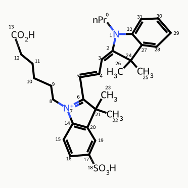 CCCN1/C(=C/C=C/C2=[N+](CCCCCC(=O)O)c3ccc(S(=O)(=O)O)cc3C2(C)C)C(C)(C)c2ccccc21